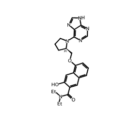 CCN(CC)C(=O)c1cc2cccc(OC[C@H]3CCCN3c3ncnc4[nH]cnc34)c2cc1O